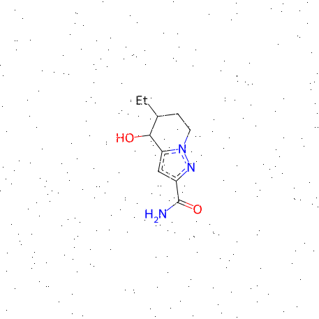 CCC1CCn2nc(C(N)=O)cc2C1O